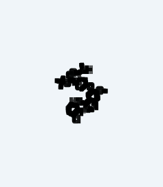 CNC(=O)[C@@H]1C[C@@H](Oc2cc3c(Nc4cccc(Cl)c4F)ncnc3cc2OC)CCN1C(=O)OC(C)(C)C